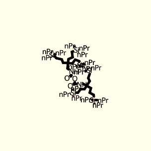 CCC[Si](CCC)(CCC)CCCC(CCC[Si](CCC)(CCC)CCC)(CCC[Si](CCC)(CCC)CCC)CNC(=O)OC(=O)NCC(CCC[Si](CCC)(CCC)CCC)(CCC[Si](CCC)(CCC)CCC)CCC[Si](CCC)(CCC)CCC